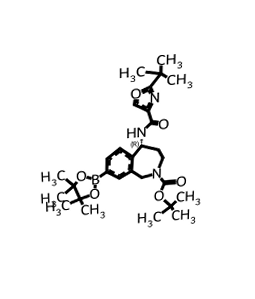 CC(C)(C)OC(=O)N1CC[C@@H](NC(=O)c2coc(C(C)(C)C)n2)c2ccc(B3OC(C)(C)C(C)(C)O3)cc2C1